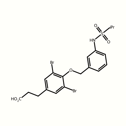 CC(C)S(=O)(=O)Nc1cccc(COc2c(Br)cc(CCC(=O)O)cc2Br)c1